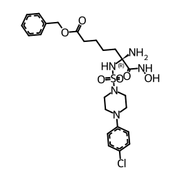 N[C@](CCCCC(=O)OCc1ccccc1)(NS(=O)(=O)N1CCN(c2ccc(Cl)cc2)CC1)C(=O)NO